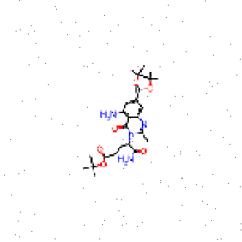 Cc1nc2cc(B3OC(C)(C)C(C)(C)O3)cc(N)c2c(=O)n1C(CCC(=O)OC(C)(C)C)C(N)=O